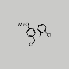 COc1ccc(CCl)cc1.Cc1ccccc1Cl